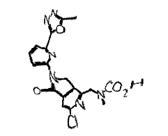 Cc1nnc(-c2cccc(N3Cc4c(cc(Cl)nc4CN(C)C(=O)O)C3=O)n2)o1